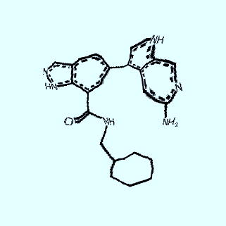 Nc1cc2c(-c3cc(C(=O)NCC4CCCCC4)c4[nH]ncc4c3)c[nH]c2cn1